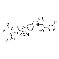 CCCC(=O)OC(OC(=O)CCC)OC(=O)C1(C(=O)O)Oc2ccc(CC(C)NCC(O)c3cccc(Cl)c3)cc2O1